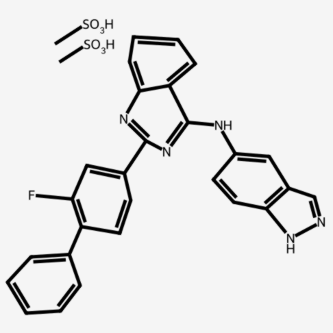 CS(=O)(=O)O.CS(=O)(=O)O.Fc1cc(-c2nc(Nc3ccc4[nH]ncc4c3)c3ccccc3n2)ccc1-c1ccccc1